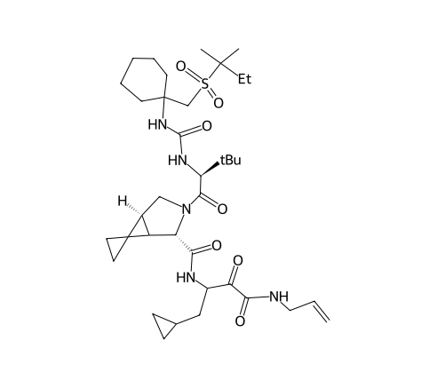 C=CCNC(=O)C(=O)C(CC1CC1)NC(=O)[C@@H]1C2[C@H](CN1C(=O)[C@@H](NC(=O)NC1(CS(=O)(=O)C(C)(C)CC)CCCCC1)C(C)(C)C)C21CC1